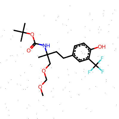 COCOCC(C)(CCc1ccc(O)c(C(F)(F)F)c1)NC(=O)OC(C)(C)C